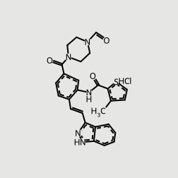 Cc1ccsc1C(=O)Nc1cc(C(=O)N2CCN(C=O)CC2)ccc1C=Cc1n[nH]c2ccccc12.Cl